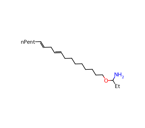 CCCCCC=CCC=CCCCCCCCCOC(N)CC